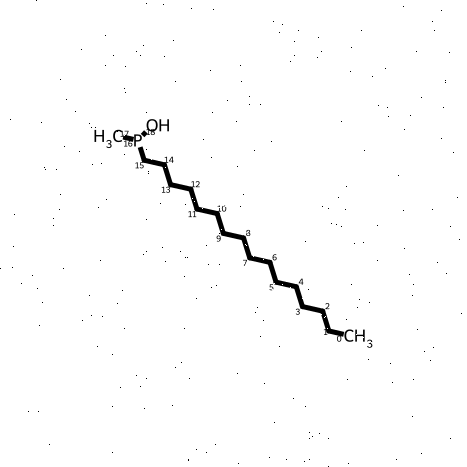 CCCCCCCCCCCCCCCCP(C)O